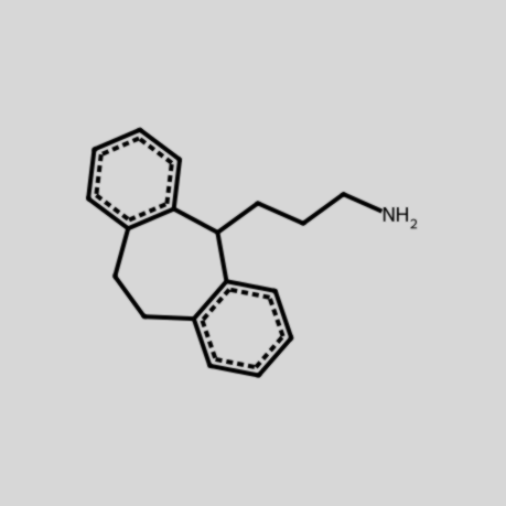 NCCCC1c2ccccc2CCc2ccccc21